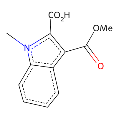 COC(=O)c1c(C(=O)O)n(C)c2ccccc12